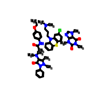 CCOc1ccc(NC(C)=O)cc1.CN(C)CCCN1c2ccccc2Sc2ccc(Cl)cc21.Cc1c(N(C)C)c(=O)n(-c2ccccc2)n1C.Cn1c(=O)c2c(ncn2C)n(C)c1=O